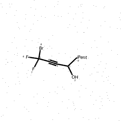 CCCC(C)C(O)C#CC(F)(F)Br